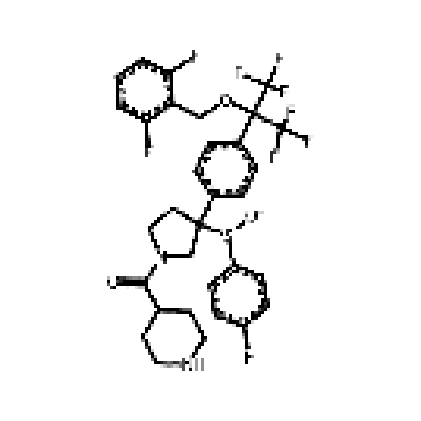 O=C(C1CCNCC1)N1CCC(c2ccc(C(OCc3c(F)cccc3F)(C(F)(F)F)C(F)(F)F)cc2)([S+]([O-])c2ccc(F)cc2)C1